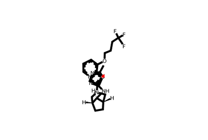 Cc1ncc(N2C[C@H]3CC[C@@H](C2)[C@@H]3Nc2nc3c(OCCCC(F)(F)F)cccn3n2)o1